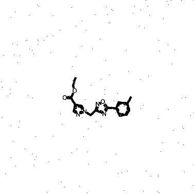 CCOC(=O)c1cnn(Cc2noc(-c3cccc(C)c3)n2)c1